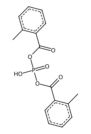 Cc1ccccc1C(=O)OP(=O)(O)OC(=O)c1ccccc1C